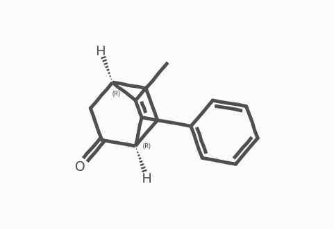 CC1=C(c2ccccc2)[C@H]2CC[C@@H]1CC2=O